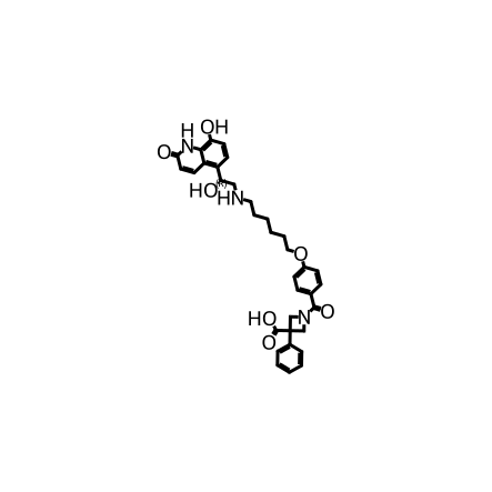 O=C(c1ccc(OCCCCCCNC[C@H](O)c2ccc(O)c3[nH]c(=O)ccc23)cc1)N1CC(C(=O)O)(c2ccccc2)C1